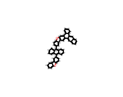 c1ccc2cc3c(cc2c1)c1ccccc1c1cc2oc4ccc(-c5c6ccccc6c(-c6ccc7oc8ccccc8c7c6)c6ccccc56)cc4c2cc31